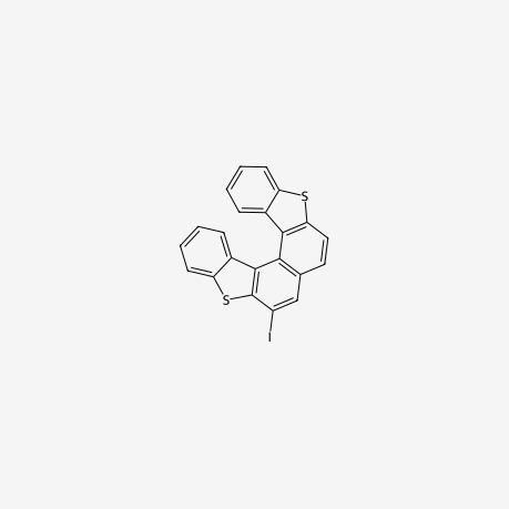 Ic1cc2ccc3sc4ccccc4c3c2c2c1sc1ccccc12